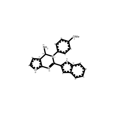 COc1ccc(N2C(c3cc4ccccc4s3)=Nc3occc3C2N)cc1